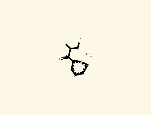 CC(CF)C(=O)c1ccccc1.Cl